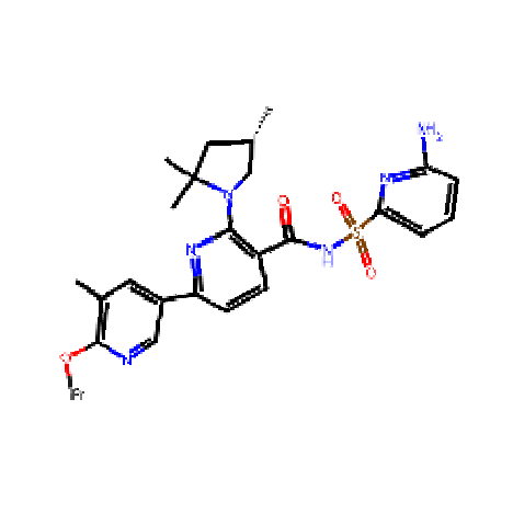 Cc1cc(-c2ccc(C(=O)NS(=O)(=O)c3cccc(N)n3)c(N3C[C@@H](C)CC3(C)C)n2)cnc1OC(C)C